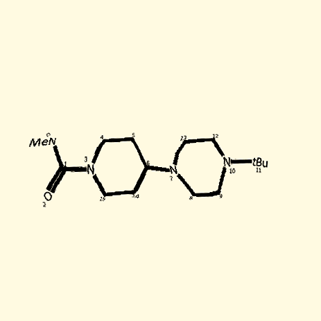 CNC(=O)N1CCC(N2CCN(C(C)(C)C)CC2)CC1